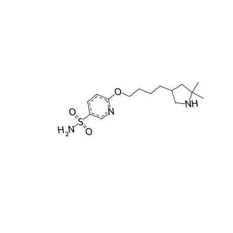 CC1(C)CC(CCCCOc2ccc(S(N)(=O)=O)cn2)CN1